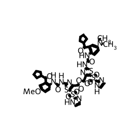 COc1ccc(NC(=O)Nc2nc(C(=O)OC(=O)c3nc(NC(=O)Nc4ccc(N(C)C)cc4C(=O)C4CCCC4)sc3S(=O)(=O)c3ncc[nH]3)c(S(=O)(=O)c3ncc[nH]3)s2)c(C(=O)C2CCCC2)c1